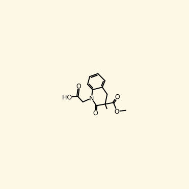 COC(=O)C1(C)Cc2ccccc2N(CC(=O)O)C1=O